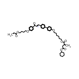 C=CC(=O)OCCCCOc1ccc(C(=O)/C=C/c2ccc(-c3ccc(OCCCCCCOC(=O)C(=C)CC(=O)OC4CCCCC4)cc3)cc2)cc1